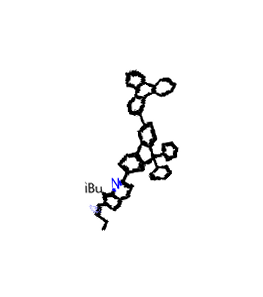 C=C/C=C\c1ccc2ccc(-c3ccc4c(c3)C(c3ccccc3)(c3ccccc3)c3ccc(-c5ccc6c(c5)c5c(c7ccccc76)C=C=CC=C5)cc3-4)nc2c1C(C)CC